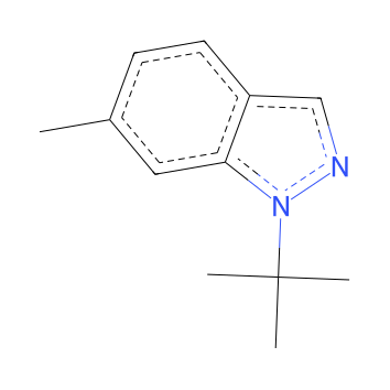 Cc1ccc2cnn(C(C)(C)C)c2c1